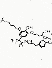 C=C(C(=O)NCCCc1ccc(C)c(C)c1)c1cc(OCCCCCC)c(O)c(OCCCCCC)c1